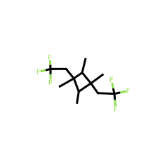 CC1C(C)(CC(F)(F)F)C(C)C1(C)CC(F)(F)F